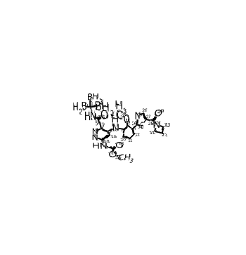 BC(B)(B)NC(=O)c1nnc(NC(=O)OC)cc1Nc1cccc(-c2ncc(C(=O)N3CCC3)s2)c1OC